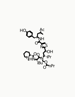 CCCC(=O)OCN(C(=O)[C@@H](NC(=O)[C@H]1CCCCN1C)C(C)CC)[C@H](C[C@@H](O)c1nc(C(=O)N[C@@H](Cc2ccc(O)cc2)C[C@H](C)C(C)=O)cs1)C(C)C